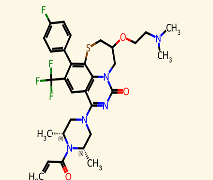 C=CC(=O)N1[C@H](C)CN(c2nc(=O)n3c4c(c(-c5ccc(F)cc5)c(C(F)(F)F)cc24)SCC(OCCN(C)C)C3)C[C@@H]1C